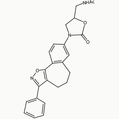 CC(=O)NCC1CN(c2ccc3c(c2)CCCc2c(-c4ccccc4)noc2-3)C(=O)O1